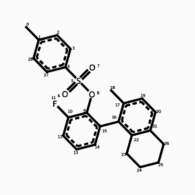 Cc1ccc(S(=O)(=O)Oc2c(F)cccc2-c2c(C)ccc3c2CCCC3)cc1